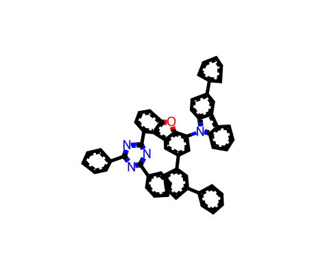 c1ccc(-c2cccc(-c3cc(-n4c5ccccc5c5cc(-c6ccccc6)ccc54)c4oc5cccc(-c6nc(-c7ccccc7)nc(-c7ccccc7)n6)c5c4c3)c2)cc1